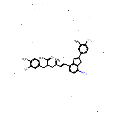 C=C(/C=C/c1ccc(N)c2c1C=C(c1ccc(C)c(C)c1)C2)CC(Cc1ccc(C)c(C)c1)C(=C)C